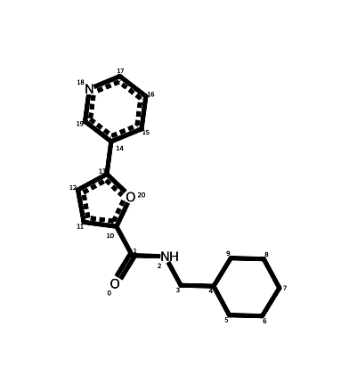 O=C(NCC1CCCCC1)c1ccc(-c2cccnc2)o1